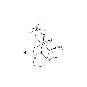 CC(C)(C)OC(=O)N1[C@H]2CC[C@@H]1[C@H](N)[C@H](OC(F)F)C2